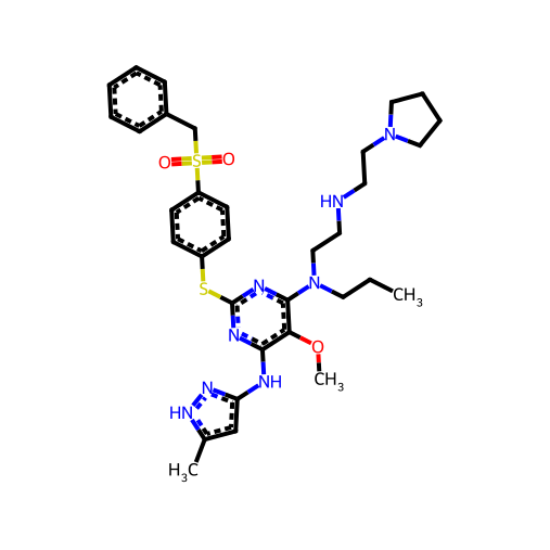 CCCN(CCNCCN1CCCC1)c1nc(Sc2ccc(S(=O)(=O)Cc3ccccc3)cc2)nc(Nc2cc(C)[nH]n2)c1OC